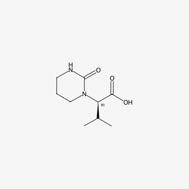 CC(C)[C@H](C(=O)O)N1CCCNC1=O